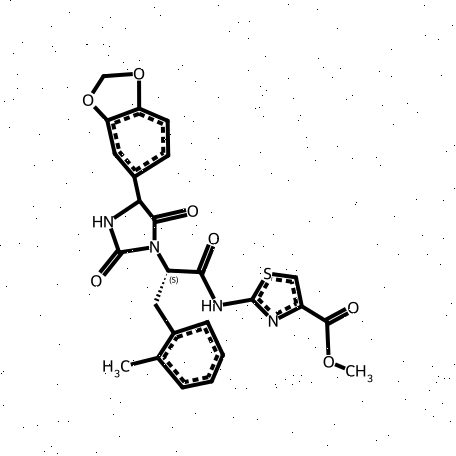 COC(=O)c1csc(NC(=O)[C@H](Cc2ccccc2C)N2C(=O)NC(c3ccc4c(c3)OCO4)C2=O)n1